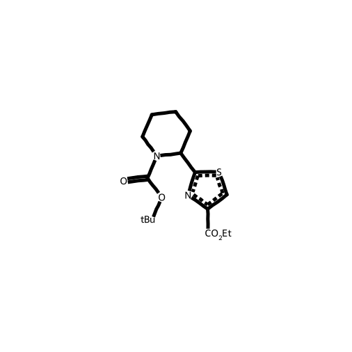 CCOC(=O)c1csc(C2CCCCN2C(=O)OC(C)(C)C)n1